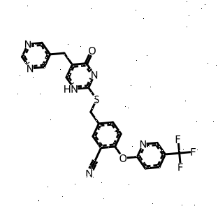 N#Cc1cc(CSc2nc(=O)c(Cc3cncnc3)c[nH]2)ccc1Oc1ccc(C(F)(F)F)cn1